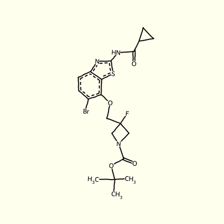 CC(C)(C)OC(=O)N1CC(F)(COc2c(Br)ccc3nc(NC(=O)C4CC4)sc23)C1